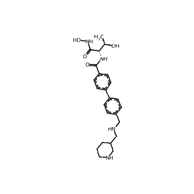 C[C@@H](O)[C@H](NC(=O)c1ccc(-c2ccc(CNCC3CCCNC3)cc2)cc1)C(=O)NO